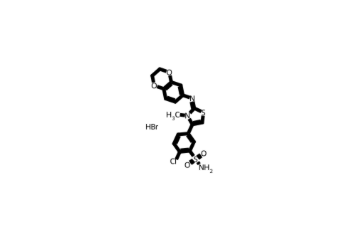 Br.Cn1c(-c2ccc(Cl)c(S(N)(=O)=O)c2)cs/c1=N/c1ccc2c(c1)OCCO2